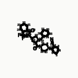 N#Cc1ccccc1N1CCN(C(=O)C2CC(NC(=O)c3ccccc3C(F)(F)F)CN2Cc2ccccc2)CC1